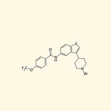 CC(C)N1CCC(c2csc3ccc(NC(=O)c4ccc(OC(F)(F)F)cc4)cc23)CC1